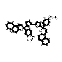 COc1ccc(C2(c3ccc(-c4ccc(C5(c6ccc(OC)cc6)C=Cc6c(ccc7ccccc67)O5)s4)s3)C=Cc3c(ccc4ccccc34)O2)cc1